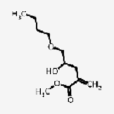 C=C(CC(O)COCCCC)C(=O)OC